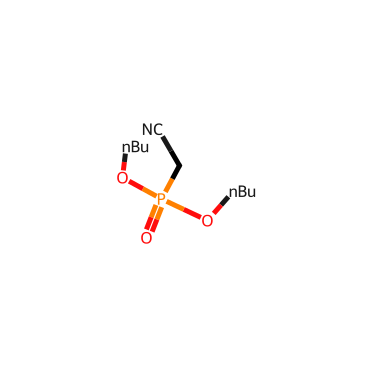 CCCCOP(=O)(CC#N)OCCCC